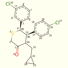 O=C1CS[C@@H](c2cccc(Cl)c2)[C@@H](c2ccc(Cl)cc2)C1CC1CC1